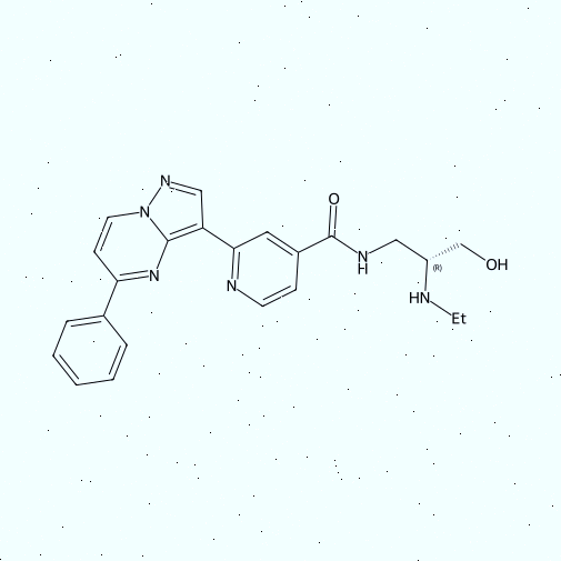 CCN[C@@H](CO)CNC(=O)c1ccnc(-c2cnn3ccc(-c4ccccc4)nc23)c1